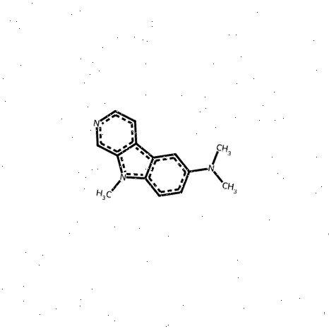 CN(C)c1ccc2c(c1)c1ccncc1n2C